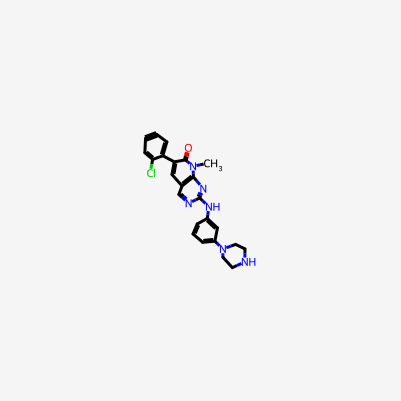 Cn1c(=O)c(-c2cc#ccc2Cl)cc2cnc(Nc3cccc(N4CCNCC4)c3)nc21